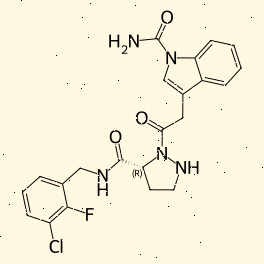 NC(=O)n1cc(CC(=O)N2NCC[C@@H]2C(=O)NCc2cccc(Cl)c2F)c2ccccc21